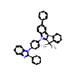 CC1(C)c2ccccc2-c2c1n(-c1ccc(-n3c(-c4ccccc4)nc4ccccc43)cc1)c1ccc(-c3ccccc3)cc21